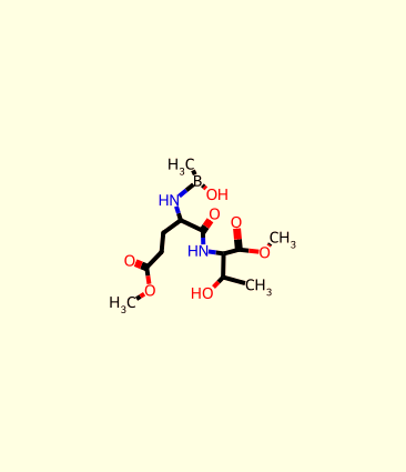 COC(=O)CCC(NB(C)O)C(=O)NC(C(=O)OC)C(C)O